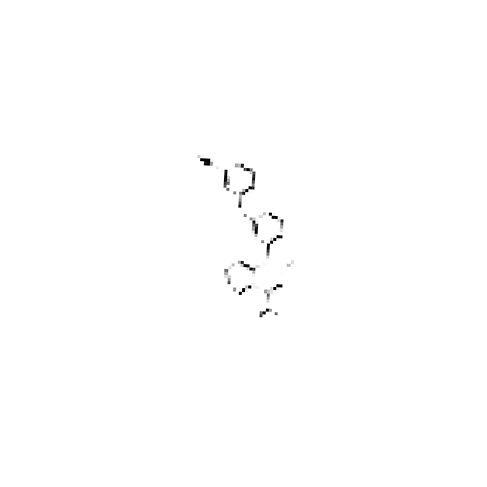 CO/C=C(/C(=O)OC)c1ccccc1Oc1cccc(Oc2cccc(C#N)c2)c1